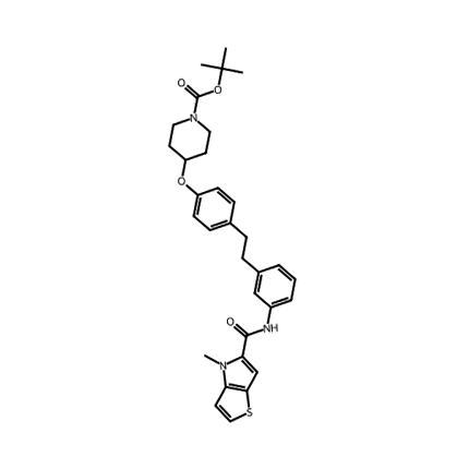 Cn1c(C(=O)Nc2cccc(CCc3ccc(OC4CCN(C(=O)OC(C)(C)C)CC4)cc3)c2)cc2sccc21